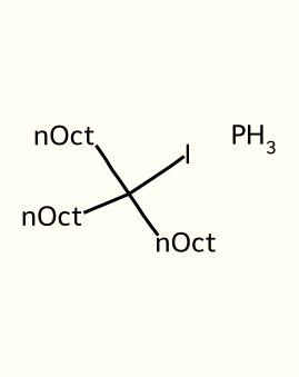 CCCCCCCCC(I)(CCCCCCCC)CCCCCCCC.P